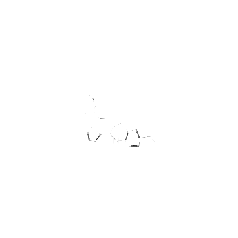 CCc1ccc2c(c1)[C@@H](C)[C@@H](CC[C@@H](C)CNC)[C@H](c1cccs1)N2